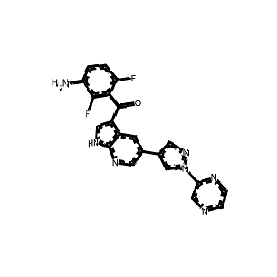 Nc1ccc(F)c(C(=O)c2c[nH]c3ncc(-c4cnn(-c5cnccn5)c4)cc23)c1F